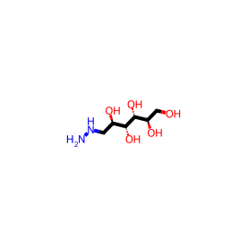 NNC[C@@H](O)[C@@H](O)[C@H](O)[C@H](O)CO